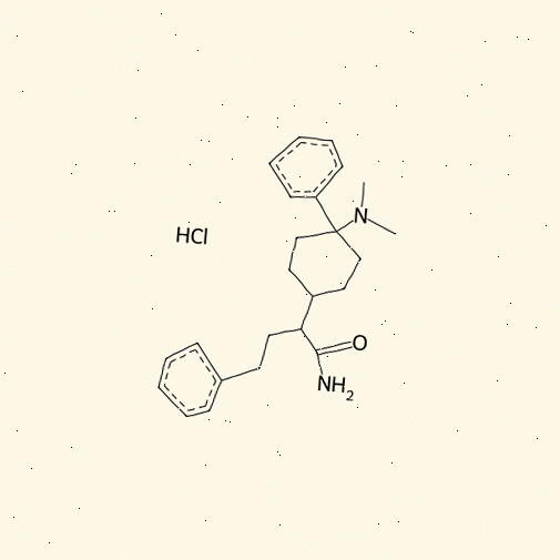 CN(C)C1(c2ccccc2)CCC(C(CCc2ccccc2)C(N)=O)CC1.Cl